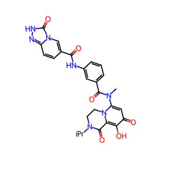 CC(C)N1CCn2c(N(C)C(=O)c3cccc(NC(=O)c4ccc5n[nH]c(=O)n5c4)c3)cc(=O)c(O)c2C1=O